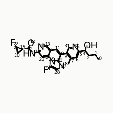 CCC[C@H](O)c1cc(C)c(-c2cc3cnc(NC(=O)[C@H]4C[C@H]4F)cc3n3c(F)cnc23)cn1